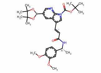 COc1ccc([C@@H](C)NC(=O)/C=C/c2cn(C(=O)OC(C)(C)C)c3ncc(B4OC(C)(C)C(C)(C)O4)cc23)cc1OC